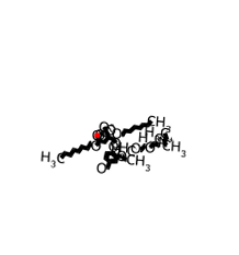 CCCCCCCCOC(=O)CC(C(=O)OCCCCCCCC)S(=O)(=O)[O-].CCOc1cc(C=O)ccc1O.CC[N+](C)(C)CCOCCOC